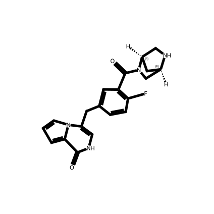 O=C(c1cc(Cc2c[nH]c(=O)c3cccn23)ccc1F)N1C[C@H]2C[C@@H]1CN2